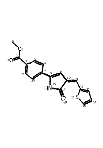 COC(=O)c1ccc(C2=CC(=Cc3cccs3)C(=O)N2)cc1